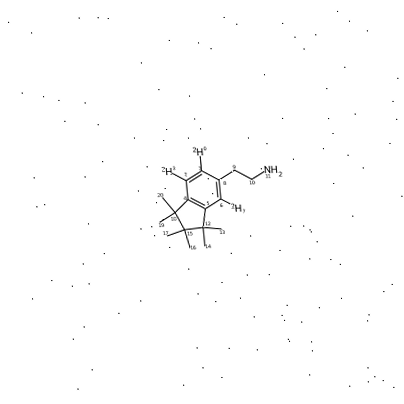 [2H]c1c([2H])c2c(c([2H])c1CCN)C(C)(C)C(C)(C)C2(C)C